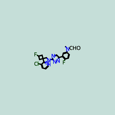 CN(C=O)c1ccc(F)c(-c2cnc(NCC3(c4ncccc4Cl)CC(F)C3)nn2)c1